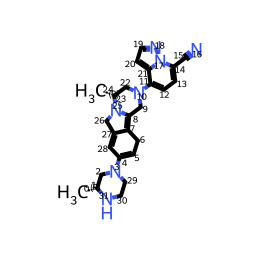 C[C@@H]1CN(C2=CCC3=C4CN(c5ccc(C#N)n6nccc56)C[C@@H](C)N4CC3=C2)CCN1